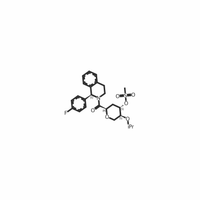 CC(C)O[C@H]1CO[C@@H](C(=O)N2CCc3ccccc3[C@@H]2c2ccc(F)cc2)C[C@@H]1OS(C)(=O)=O